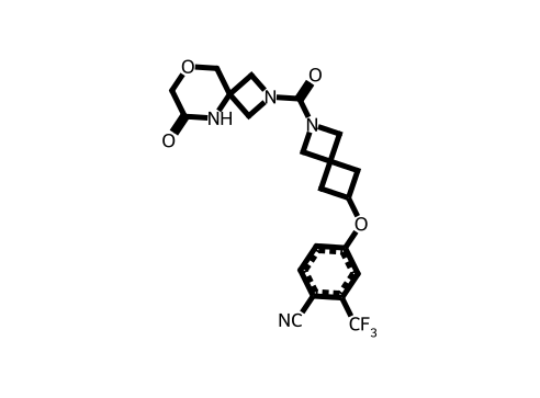 N#Cc1ccc(OC2CC3(C2)CN(C(=O)N2CC4(COCC(=O)N4)C2)C3)cc1C(F)(F)F